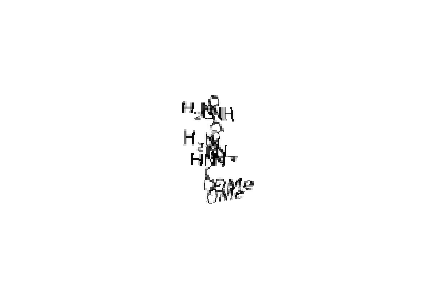 COc1ccc(CCNc2nc(C3CC3)nc(N(N)Cc3ccc(C(=O)Nc4ccccc4N)cc3)n2)cc1OC